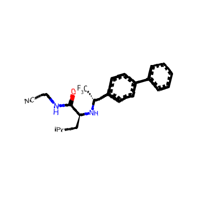 CC(C)C[C@H](N[C@@H](c1ccc(-c2ccccc2)cc1)C(F)(F)F)C(=O)NCC#N